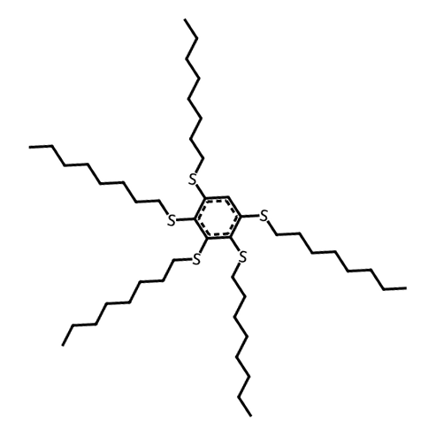 CCCCCCCCSc1cc(SCCCCCCCC)c(SCCCCCCCC)c(SCCCCCCCC)c1SCCCCCCCC